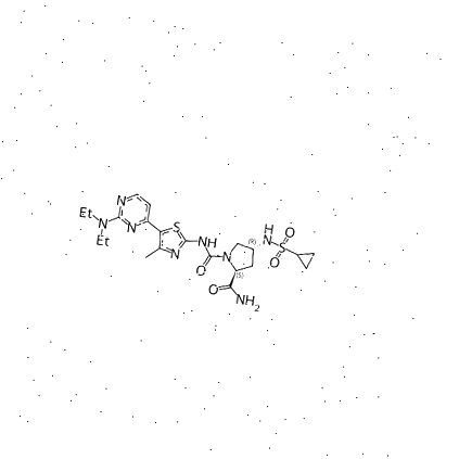 CCN(CC)c1nccc(-c2sc(NC(=O)N3C[C@H](NS(=O)(=O)C4CC4)C[C@H]3C(N)=O)nc2C)n1